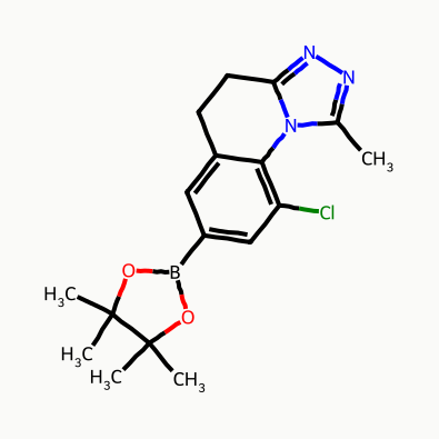 Cc1nnc2n1-c1c(Cl)cc(B3OC(C)(C)C(C)(C)O3)cc1CC2